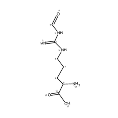 N=C(NC=O)NCCCC(N)C(=O)O